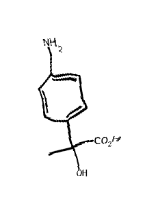 CC(O)(C(=O)O)c1ccc(N)cc1